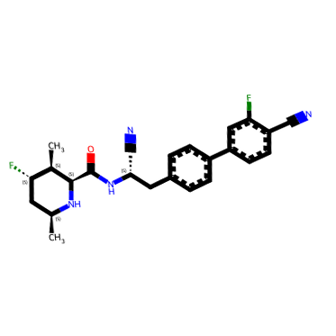 C[C@H]1[C@@H](C(=O)N[C@H](C#N)Cc2ccc(-c3ccc(C#N)c(F)c3)cc2)N[C@@H](C)C[C@@H]1F